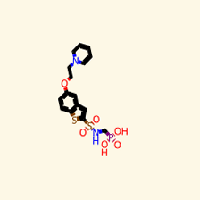 O=P(O)(O)CNS(=O)(=O)c1cc2cc(OCCN3C=CC=CC3)ccc2s1